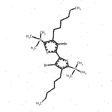 CCCCCCc1c([Si](C)(C)C)sc(-c2sc([Si](C)(C)C)c(CCCCCC)c2Br)c1Br